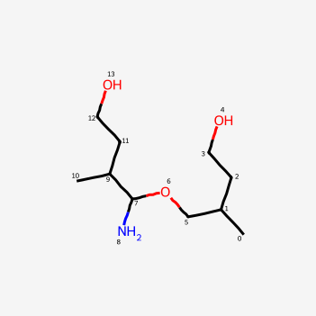 CC(CCO)COC(N)C(C)CCO